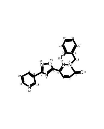 O=c1ccc(-c2nc(-c3cccnc3)no2)nn1Cc1ccccc1F